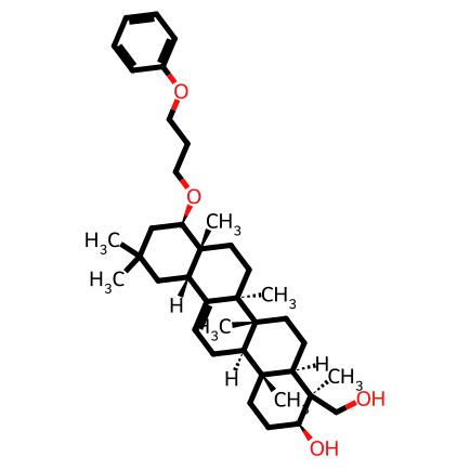 CC1(C)C[C@@H](OCCCOc2ccccc2)[C@]2(C)CC[C@]3(C)C(=CC[C@@H]4[C@@]5(C)CC[C@H](O)[C@](C)(CO)[C@@H]5CC[C@]43C)[C@@H]2C1